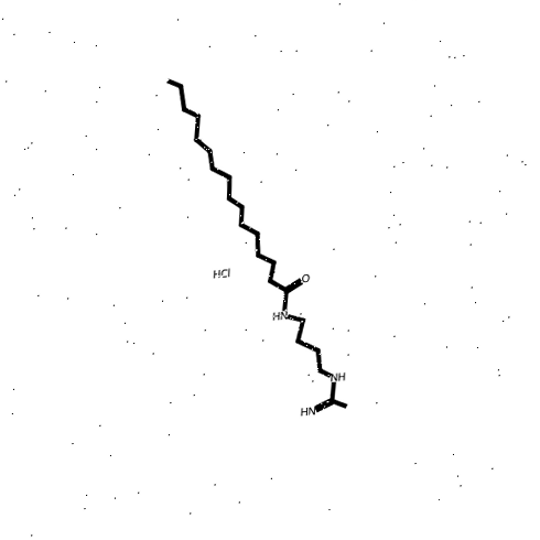 CCCCCCCCCCCCCCCC(=O)NCCCCNC(C)=N.Cl